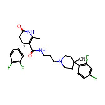 CC1=C(C(=O)NCCCN2CCC(C#N)(c3ccc(F)cc3F)CC2)[C@H](c2ccc(F)c(F)c2)CC(=O)N1